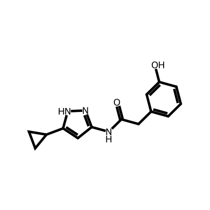 O=C(Cc1cccc(O)c1)Nc1cc(C2CC2)[nH]n1